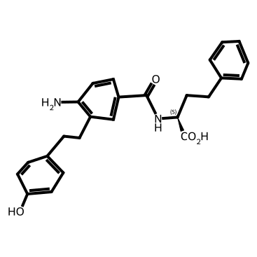 Nc1ccc(C(=O)N[C@@H](CCc2ccccc2)C(=O)O)cc1CCc1ccc(O)cc1